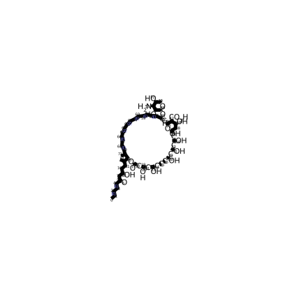 C/C=C/C=C/C(=O)CC(O)CCC(C)C1OC(=O)CC(O)CC(O)CCCC(O)CC(O)CC(O)CC2(O)CC(O)C(C(=O)O)[C@H](CC(OC3OC[C@@H](O)[C@H](N)[C@@H]3O)/C=C/C=C/C=C/C=C\C=C/C=C/C=C/C1C)O2